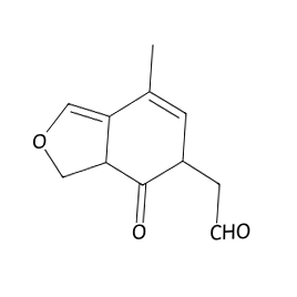 CC1=CC(CC=O)C(=O)C2COC=C12